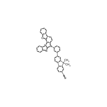 CC1(C)c2cc(C#N)ccc2-c2ccc(-c3cccc(-n4c5ccc6c7ccccc7oc6c5n5c6ccccc6nc45)c3)cc21